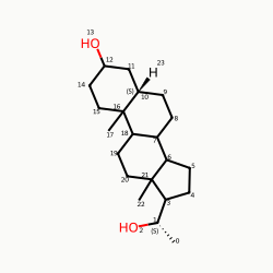 C[C@H](O)C1CCC2C3CC[C@H]4CC(O)CCC4(C)C3CCC21C